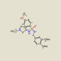 COc1ccc(CN=S(=O)(NC2CCN(C(=O)O)C2)c2ccc(OC(F)(F)F)cc2)cc1OC